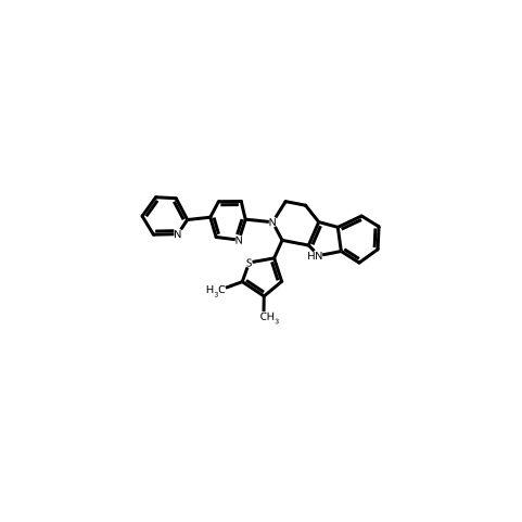 Cc1cc(C2c3[nH]c4ccccc4c3CCN2c2ccc(-c3ccccn3)cn2)sc1C